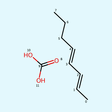 CC=CC=CCCC.O=C(O)O